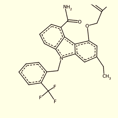 CCc1cc(OCC(=O)O)c2c3c(C(N)=O)cccc3n(Cc3ccccc3C(F)(F)F)c2c1